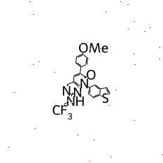 COc1ccc(-c2cc3cnc(NCC(F)(F)F)nc3n(-c3ccc4sccc4c3)c2=O)cc1